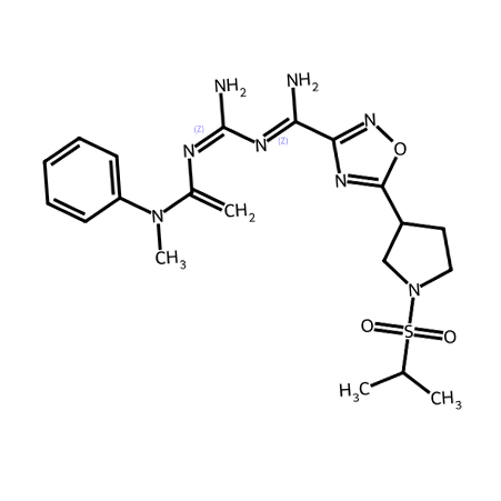 C=C(/N=C(N)\N=C(/N)c1noc(C2CCN(S(=O)(=O)C(C)C)C2)n1)N(C)c1ccccc1